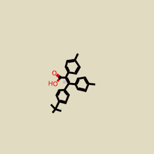 Cc1ccc(/C(C(=O)O)=C(\c2ccc(C)cc2)c2ccc(C(C)(C)C)cc2)cc1